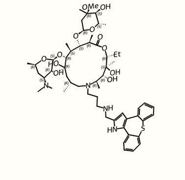 CC[C@H]1OC(=O)[C@H](C)[C@@H](O[C@H]2C[C@@](C)(OC)[C@@H](O)[C@H](C)O2)[C@H](C)[C@@H](O[C@@H]2O[C@H](C)C[C@H](N(C)C)[C@H]2O)[C@](C)(O)C[C@@H](C)CN(CCCNCc2cc3c([nH]2)-c2ccccc2Sc2ccccc2-3)[C@H](C)[C@@H](O)[C@]1(C)O